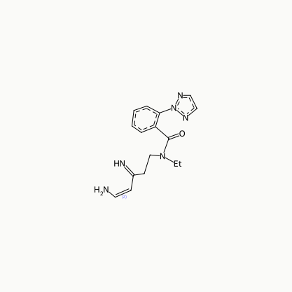 CCN(CCC(=N)/C=C\N)C(=O)c1ccccc1-n1nccn1